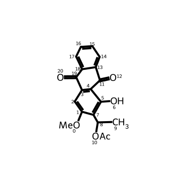 COc1cc2c(c(O)c1C(C)OC(C)=O)C(=O)c1ccccc1C2=O